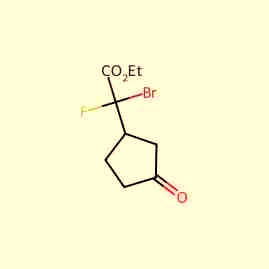 CCOC(=O)C(F)(Br)C1CCC(=O)C1